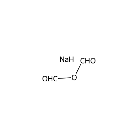 O=COC=O.[NaH]